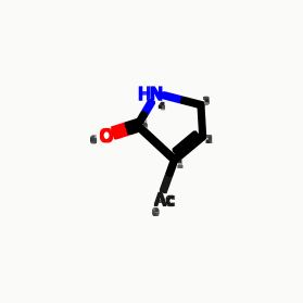 CC(=O)C1=CCNC1=O